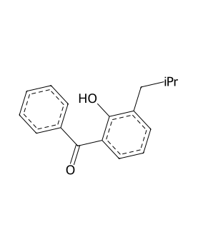 CC(C)Cc1cccc(C(=O)c2ccccc2)c1O